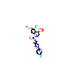 O=C(N1CC2(C1)CN(c1ccc(F)cn1)C2)N1CCC(O)c2c1ccc(C(F)(F)F)c2F